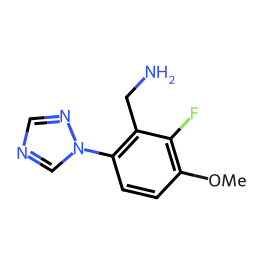 COc1ccc(-n2cncn2)c(CN)c1F